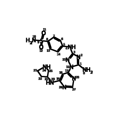 Nc1nc(Nc2ccc(S(N)(=O)=O)cc2)nn1-c1cc(N[C@H]2CCNC2)ncn1